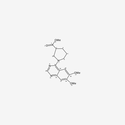 COC(=O)C1CCCN(c2ncnc3cc(OC)c(OC)cc23)C1